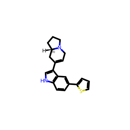 C1=C(c2c[nH]c3ccc(-c4cccs4)cc23)C[C@@H]2CCCN2C1